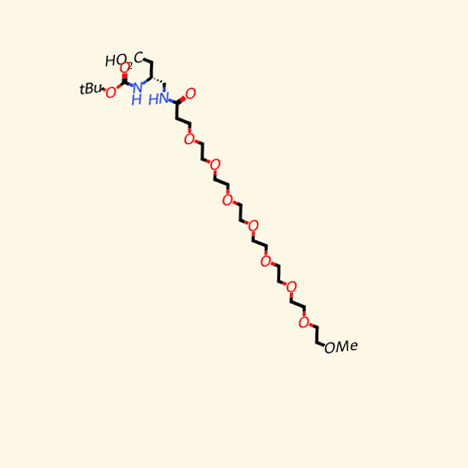 COCCOCCOCCOCCOCCOCCOCCOCCC(=O)NC[C@@H](CC(=O)O)NC(=O)OC(C)(C)C